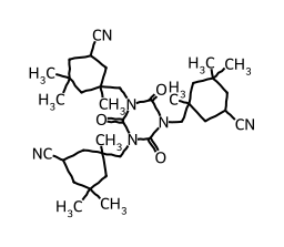 CC1(C)CC(C#N)CC(C)(Cn2c(=O)n(CC3(C)CC(C#N)CC(C)(C)C3)c(=O)n(CC3(C)CC(C#N)CC(C)(C)C3)c2=O)C1